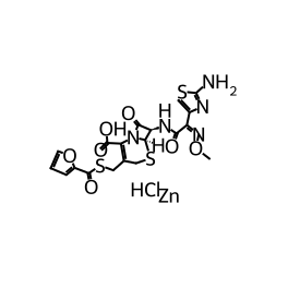 CO/N=C(\C(=O)N[C@@H]1C(=O)N2C(C(=O)O)=C(CSC(=O)c3ccco3)CS[C@H]12)c1csc(N)n1.Cl.[Zn]